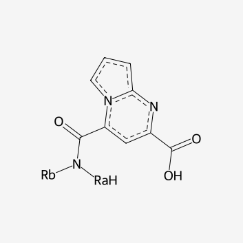 O=C(O)c1cc(C(=O)[N]([Rb])[RaH])n2cccc2n1